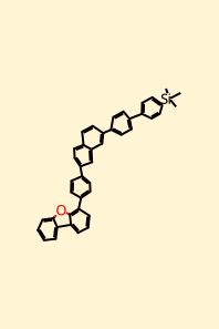 C[Si](C)(C)c1ccc(-c2ccc(-c3ccc4ccc(-c5ccc(-c6cccc7c6oc6ccccc67)cc5)cc4c3)cc2)cc1